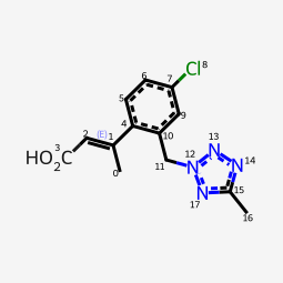 C/C(=C\C(=O)O)c1ccc(Cl)cc1Cn1nnc(C)n1